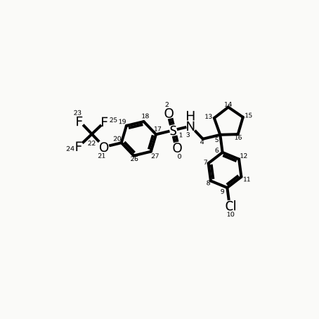 O=S(=O)(NCC1(c2ccc(Cl)cc2)CCCC1)c1ccc(OC(F)(F)F)cc1